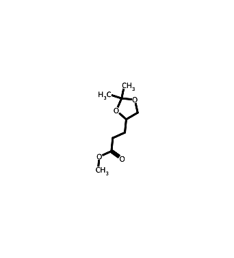 COC(=O)CCC1COC(C)(C)O1